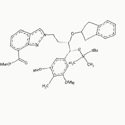 COC(=O)c1cccc2cn(CC[C@H](OC3Cc4ccccc4C3)[C@H](O[Si](C)(C)C(C)(C)C)c3cc(OC)c(C)c(OC)c3)nc12